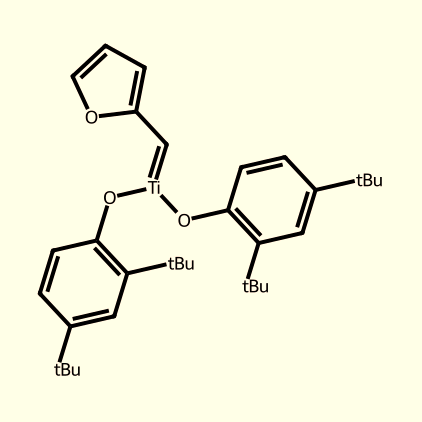 CC(C)(C)c1ccc([O][Ti](=[CH]c2ccco2)[O]c2ccc(C(C)(C)C)cc2C(C)(C)C)c(C(C)(C)C)c1